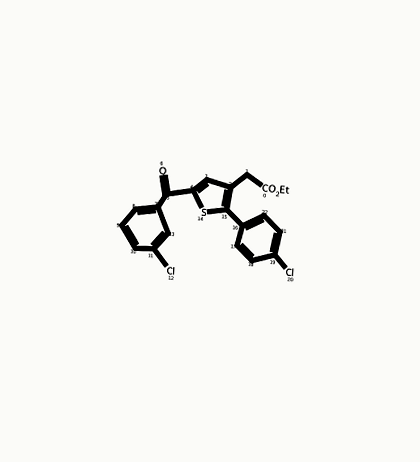 CCOC(=O)Cc1cc(C(=O)c2cccc(Cl)c2)sc1-c1ccc(Cl)cc1